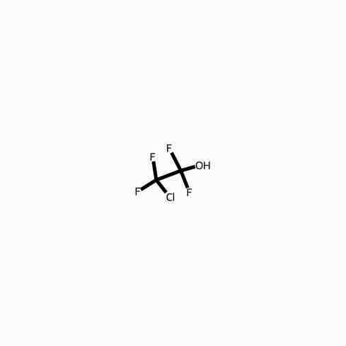 OC(F)(F)C(F)(F)Cl